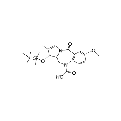 COc1ccc2c(c1)C(=O)N1C=C(C)C(O[Si](C)(C)C(C)(C)C)C1CN2C(=O)O